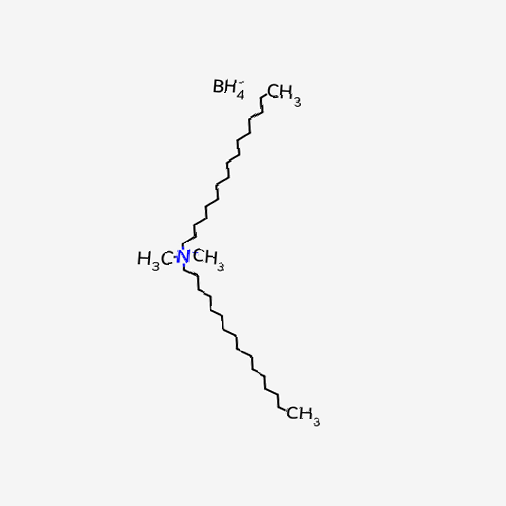 CCCCCCCCCCCCCCCC[N+](C)(C)CCCCCCCCCCCCCCCC.[BH4-]